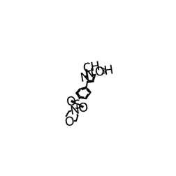 Cn1nc(-c2ccc(S(=O)(=O)N3CCOCC3)cc2)cc1O